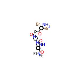 CCN(CC)C(=O)c1ccc2c(c1)NC(=O)N(C1CCN(C(=O)[C@@H]3C[C@H]3C(=O)c3cc(Br)c(N)c(Br)c3)CC1)C2